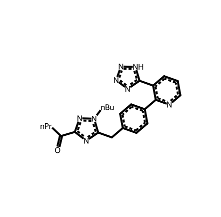 CCCCn1nc(C(=O)CCC)nc1Cc1ccc(-c2ncccc2-c2nnn[nH]2)cc1